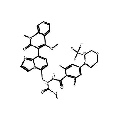 COC(=O)[C@H](Cc1ccc(-c2c(OC)c3ccccc3n(C)c2=O)c2nccn12)NC(=O)c1c(F)cc(N2CCOC[C@H]2C(F)(F)F)cc1F